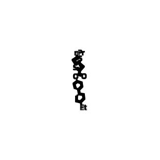 CCCc1cc2sc(C(=O)O[C@H]3CC[C@H]([C@H]4CC[C@H](CC)CC4)CC3)cc2s1